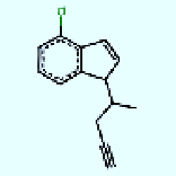 C#CCC(C)C1C=Cc2c(Cl)cccc21